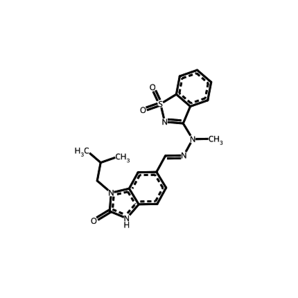 CC(C)Cn1c(=O)[nH]c2ccc(/C=N/N(C)C3=NS(=O)(=O)c4ccccc43)cc21